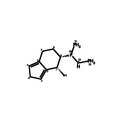 C[C@@H]1C2=CCC=C2CC[C@@H]1P(P)PP